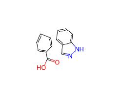 O=C(O)c1ccccc1.c1ccc2[nH]ncc2c1